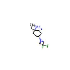 N#CC[C@]1(N)CC[C@@H](N2CC(F)(F)C2)CC1